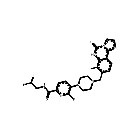 O=C(NCC(F)F)c1ccc(N2CCN(Cc3ccc4c([nH]c(=O)n5ccnc45)c3F)CC2)c(F)n1